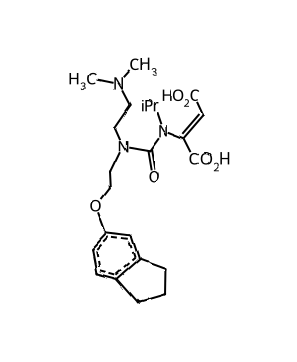 CC(C)N(C(=O)N(CCOc1ccc2c(c1)CCC2)CCN(C)C)/C(=C\C(=O)O)C(=O)O